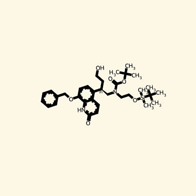 CC(C)(C)OC(=O)N(CCO[Si](C)(C)C(C)(C)C)C[C@H](CCO)c1ccc(OCc2ccccc2)c2[nH]c(=O)ccc12